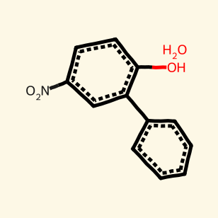 O.O=[N+]([O-])c1ccc(O)c(-c2ccccc2)c1